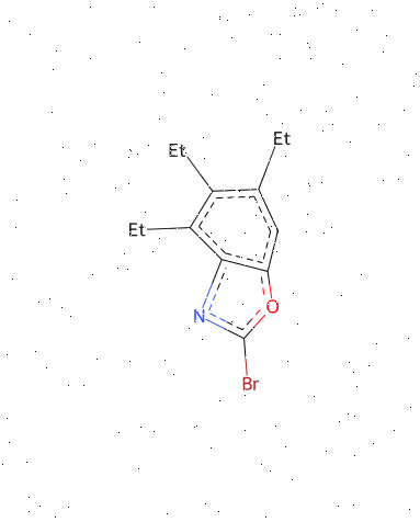 CCc1cc2oc(Br)nc2c(CC)c1CC